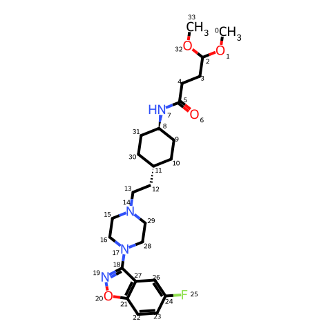 COC(CCC(=O)N[C@H]1CC[C@H](CCN2CCN(c3noc4ccc(F)cc34)CC2)CC1)OC